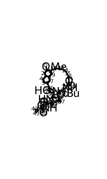 COc1cc2ccc3cc2cc1CCCCCCOC(=O)N[C@@H](C(C)(C)C)C(=O)N1C[C@@]3(O)C[C@H]1C(=O)N[C@]1(C(=O)NS(=O)(=O)C2CC2)C[C@@H]1C1CC1